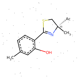 CC(=O)[C@@]1(C)CSC(c2ccc(C)cc2O)=N1